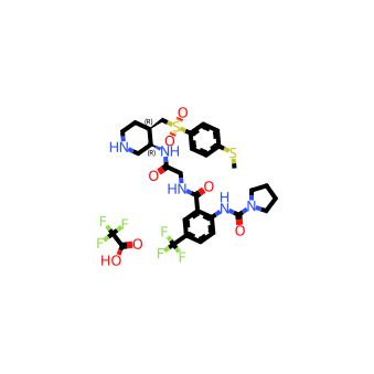 CSc1ccc(S(=O)(=O)C[C@@H]2CCNC[C@@H]2NC(=O)CNC(=O)c2cc(C(F)(F)F)ccc2NC(=O)N2CCCC2)cc1.O=C(O)C(F)(F)F